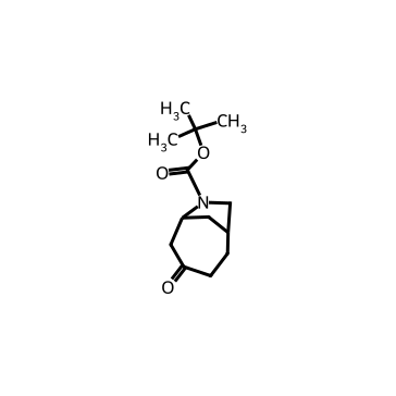 CC(C)(C)OC(=O)N1CC2CCC(=O)CC1C2